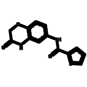 O=C1COc2ccc(NC(=O)c3cccs3)cc2N1